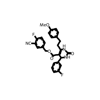 COc1ccc(CCC2=C(C(=O)OCc3ccc(F)c(C#N)c3)C(c3cccc(F)c3)NC(=O)N2)cc1